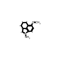 COc1ccc2c3c1CCCC3CN2N